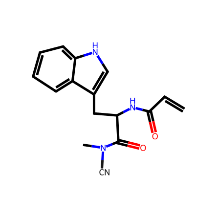 C=CC(=O)NC(Cc1c[nH]c2ccccc12)C(=O)N(C)C#N